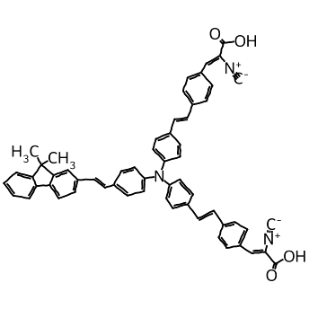 [C-]#[N+]/C(=C\c1ccc(/C=C/c2ccc(N(c3ccc(/C=C/c4ccc(/C=C(\[N+]#[C-])C(=O)O)cc4)cc3)c3ccc(/C=C/c4ccc5c(c4)C(C)(C)c4ccccc4-5)cc3)cc2)cc1)C(=O)O